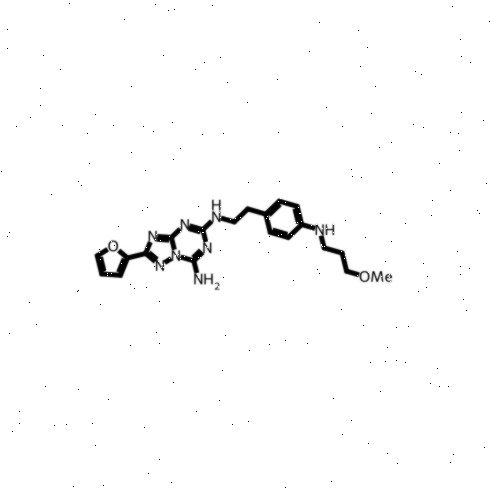 COCCCNc1ccc(CCNc2nc(N)n3nc(-c4ccco4)nc3n2)cc1